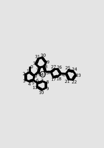 Cc1cccc(-c2ccccc2)c1-c1oc(-c2ccc(-c3ccccc3)cc2)c2ccccc12